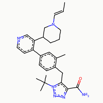 CC=CN1CCCC(c2cnccc2-c2ccc(Cc3c(C(N)=O)nnn3C(C)(C)C)c(C)c2)C1